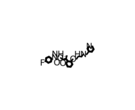 Cc1c(OC(=O)N(N)c2ccc(F)cc2)oc2cccc(OCCCNCc3cccnc3)c12